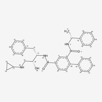 C[C@@H](NC(=O)c1cc(C(=O)N[C@@H](Cc2ccccc2)[C@H](O)CNC2CC2)ccc1-c1ccccc1)c1ccccc1